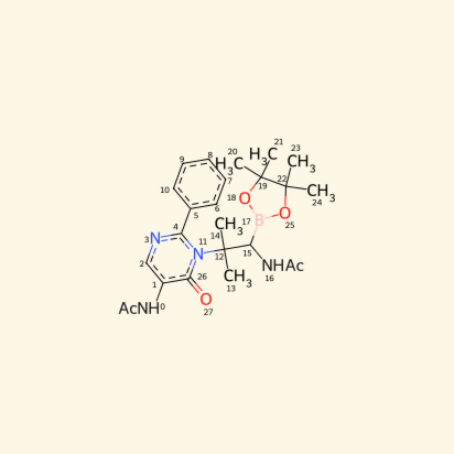 CC(=O)Nc1cnc(-c2ccccc2)n(C(C)(C)C(NC(C)=O)B2OC(C)(C)C(C)(C)O2)c1=O